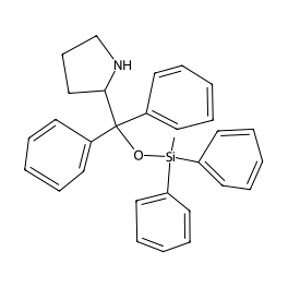 C[Si](OC(c1ccccc1)(c1ccccc1)C1CCCN1)(c1ccccc1)c1ccccc1